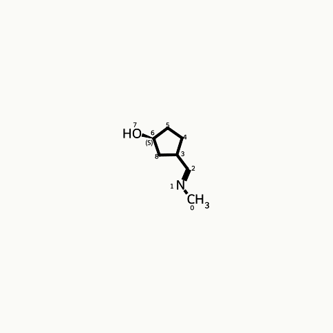 CN=CC1CC[C@H](O)C1